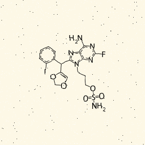 Nc1nc(F)nc2c1nc(C(C1=COCO1)c1ccccc1I)n2CCCOS(N)(=O)=O